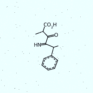 CC(C(=O)O)C(=O)C(=N)C(C)c1ccccc1